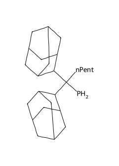 CCCCCC(P)(C1C2CC3CC(C2)CC1C3)C1C2CC3CC(C2)CC1C3